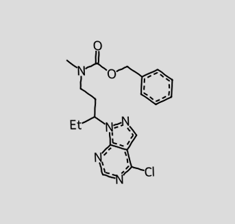 CCC(CCN(C)C(=O)OCc1ccccc1)n1ncc2c(Cl)ncnc21